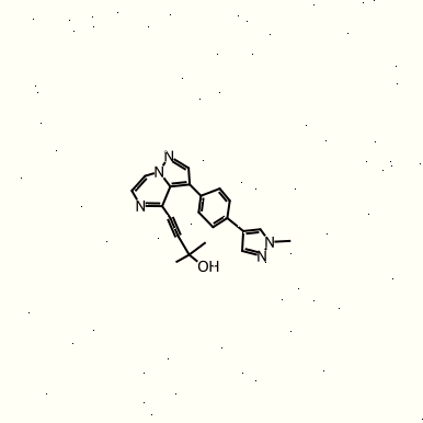 Cn1cc(-c2ccc(-c3cnn4ccnc(C#CC(C)(C)O)c34)cc2)cn1